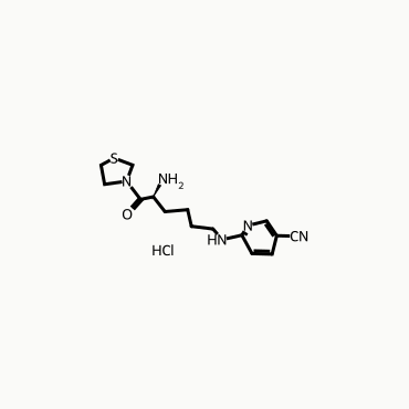 Cl.N#Cc1ccc(NCCCC[C@H](N)C(=O)N2CCSC2)nc1